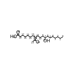 CCCCCCCC(O)CCCN(CCCCCCC(=O)O)C(C)=O